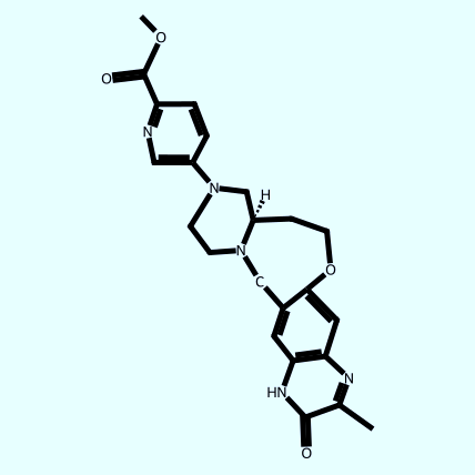 COC(=O)c1ccc(N2CCN3Cc4cc5[nH]c(=O)c(C)nc5cc4OCC[C@@H]3C2)cn1